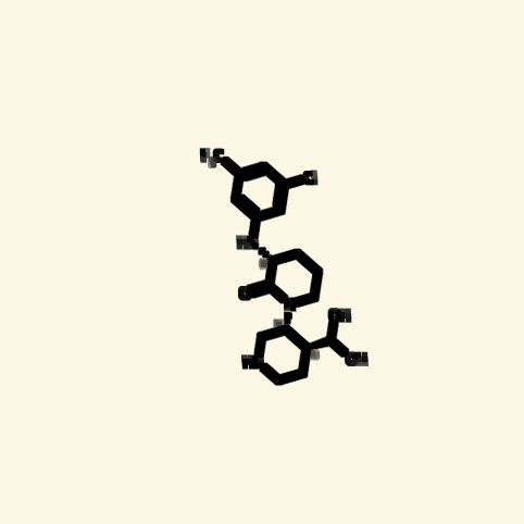 O=C1[C@H](Nc2cc(Cl)cc(C(F)(F)F)c2)CCCN1[C@H]1CNCC[C@@H]1C(O)O